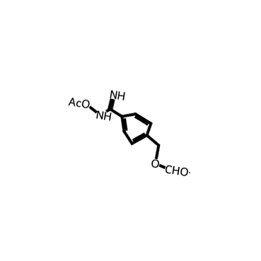 CC(=O)ONC(=N)c1ccc(CO[C]=O)cc1